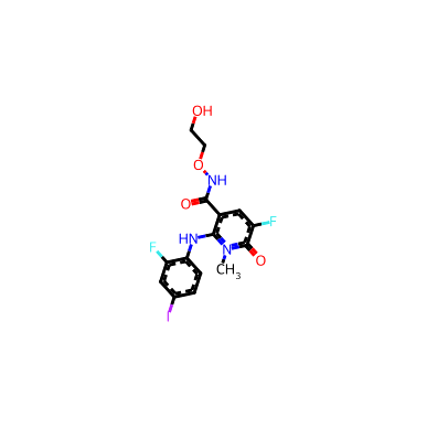 Cn1c(Nc2ccc(I)cc2F)c(C(=O)NOCCO)cc(F)c1=O